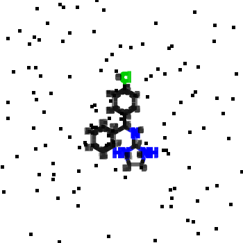 Clc1ccc(C(N=C2NCCN2)c2ccccc2)cc1